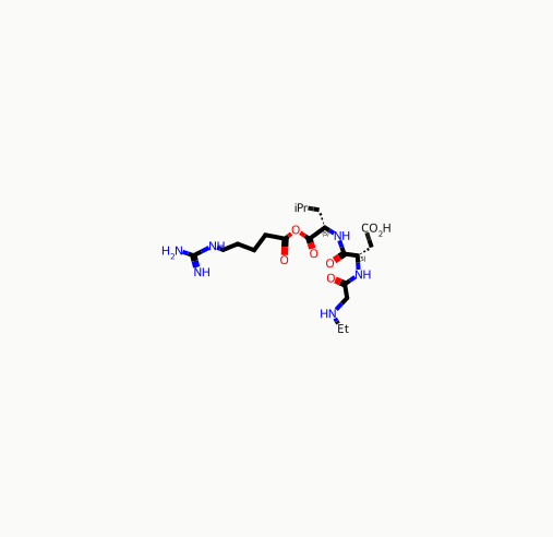 CCNCC(=O)N[C@@H](CC(=O)O)C(=O)N[C@@H](CC(C)C)C(=O)OC(=O)CCCCNC(=N)N